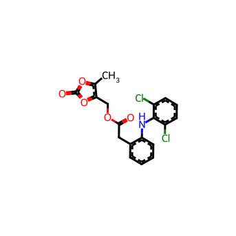 Cc1oc(=O)oc1COC(=O)Cc1ccccc1Nc1c(Cl)cccc1Cl